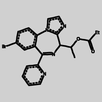 CCC(=O)OC(C)C1N=C(c2ccccn2)c2cc(Br)ccc2-n2ccnc21